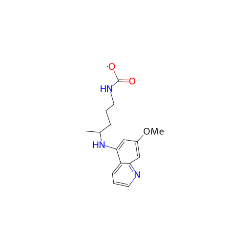 COc1cc(NC(C)CCCNC([O])=O)c2cccnc2c1